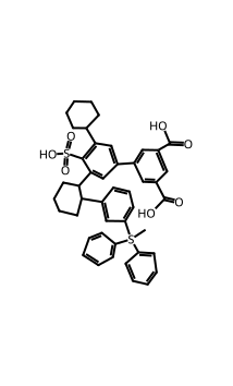 CS(c1ccccc1)(c1ccccc1)c1cccc(C2CCCCC2c2cc(-c3cc(C(=O)O)cc(C(=O)O)c3)cc(C3CCCCC3)c2S(=O)(=O)O)c1